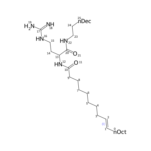 CCCCCCCC/C=C/CCCCCCCC(=O)NC(CCNC(=N)N)C(=O)NCCCCCCCCCCCC